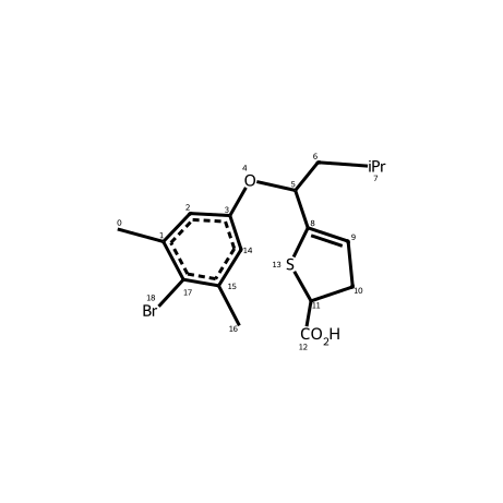 Cc1cc(OC(CC(C)C)C2=CCC(C(=O)O)S2)cc(C)c1Br